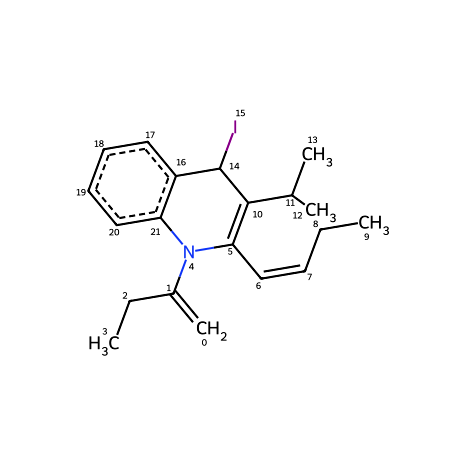 C=C(CC)N1C(/C=C\CC)=C(C(C)C)C(I)c2ccccc21